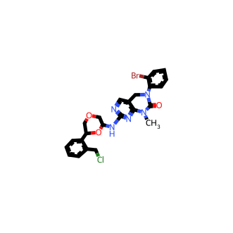 CN1C(=O)N(c2ccccc2Br)Cc2cnc(NC3COCC(c4ccccc4CCl)O3)nc21